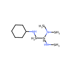 [SiH3]N[SiH]([SiH2]NC1CCCCC1)N([SiH3])[SiH3]